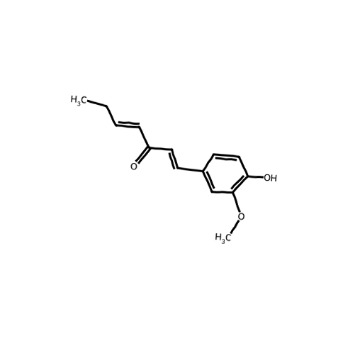 CCC=CC(=O)C=Cc1ccc(O)c(OC)c1